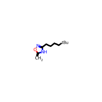 C=C1NC(CCCCC(C)(C)C)=NO1